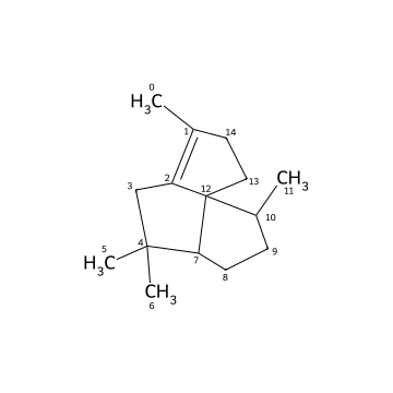 CC1=C2CC(C)(C)C3CCC(C)C23CC1